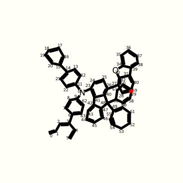 C=C/C=C(\C=C)c1ccc(N(c2ccc(-c3ccccc3)cc2)c2ccc(-c3cccc4c3oc3ccccc34)c3c2-c2ccccc2C3(C2=CC=CCC#C2)C2C=CC=CC2)cc1